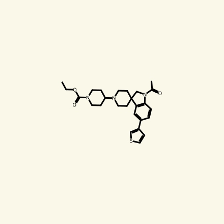 CCOC(=O)N1CCC(N2CCC3(CC2)CN(C(C)=O)c2ccc(-c4ccsc4)cc23)CC1